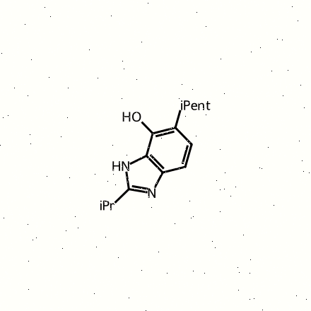 CCCC(C)c1ccc2nc(C(C)C)[nH]c2c1O